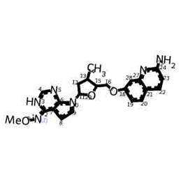 CO/N=c1\[nH]cnc2c1ccn2C1CC(C)C(COc2ccc3ccc(N)nc3c2)O1